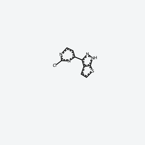 Clc1nccc(-c2n[nH]c3sccc23)n1